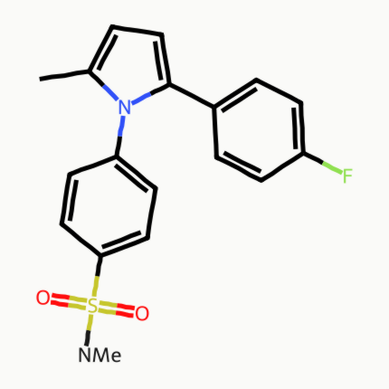 CNS(=O)(=O)c1ccc(-n2c(C)ccc2-c2ccc(F)cc2)cc1